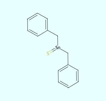 [S]=[Sn]([CH2]c1ccccc1)[CH2]c1ccccc1